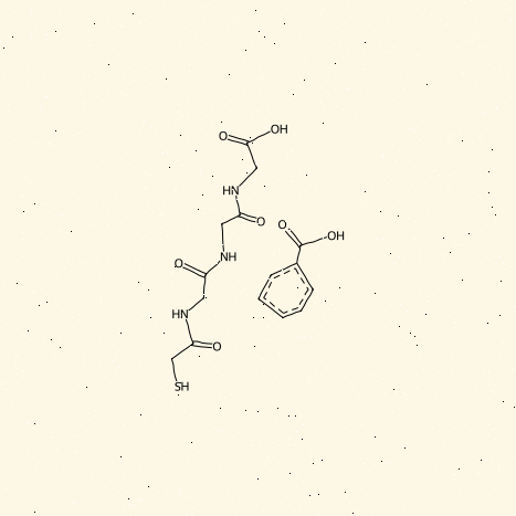 O=C(O)CNC(=O)CNC(=O)CNC(=O)CS.O=C(O)c1ccccc1